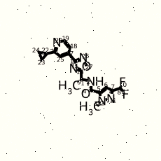 C[C@H](NC(=O)c1cc(C(F)F)nn1C)c1nc(-c2ccnc(C3CC3)c2)no1